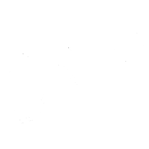 CC(C)(SC(=S)c1cccc2ccccc12)c1ccccc1